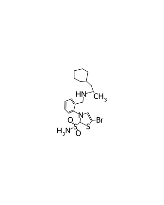 CC(CC1CCCCC1)NCc1ccccc1N1C=C(Br)SC1S(N)(=O)=O